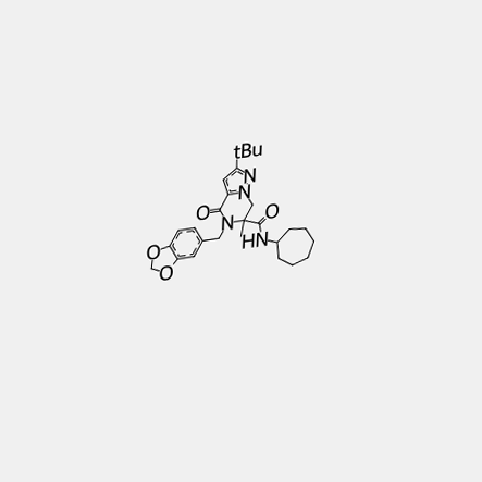 CC(C)(C)c1cc2n(n1)CC(C)(C(=O)NC1CCCCCC1)N(Cc1ccc3c(c1)OCO3)C2=O